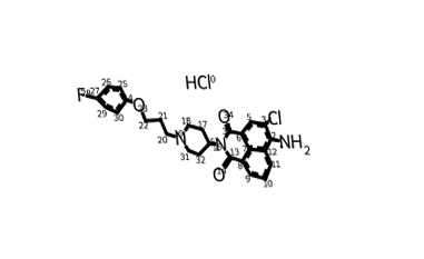 Cl.Nc1c(Cl)cc2c3c(cccc13)C(=O)N(C1CCN(CCCOc3ccc(F)cc3)CC1)C2=O